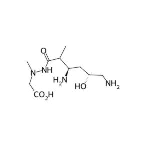 CC(C(=O)NN(C)CC(=O)O)[C@H](N)C[C@@H](O)CN